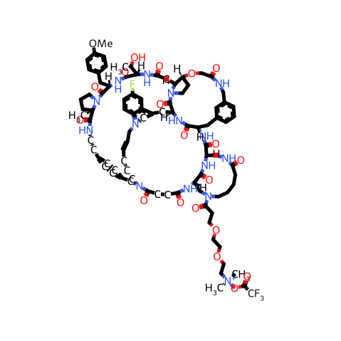 COc1ccc(C[C@@H]2NC(=O)[C@H]([C@@H](C)O)NC(=O)C[C@@H]3[C@@H]4CCN3C(=O)[C@@H]3Cc5cn(c6ccc(F)cc56)C/C=C/CCCN(Cc5ccc(cc5)CCNC(=O)[C@]5(C)CCCN5C2=O)C(=O)CCC(=O)N[C@H]2CN(C(=O)CCOCCOCC[N+](C)(C)OC(=O)C(F)(F)F)CCCCC(=O)NC[C@@H](NC2=O)C(=O)N[C@@H](Cc2cccc(c2)CNC(=O)CO4)C(=O)N3)cc1